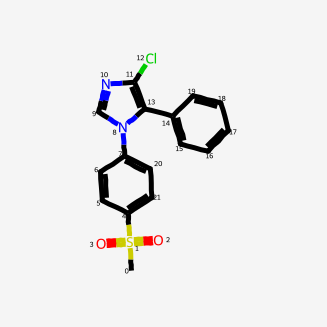 CS(=O)(=O)c1ccc(-n2cnc(Cl)c2-c2ccccc2)cc1